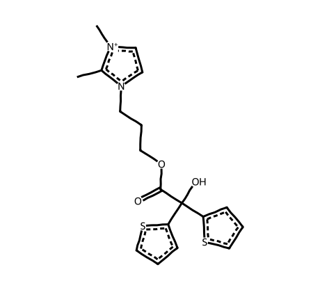 Cc1n(CCCOC(=O)C(O)(c2cccs2)c2cccs2)cc[n+]1C